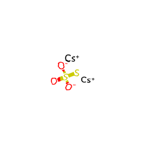 O=S([O-])([O-])=S.[Cs+].[Cs+]